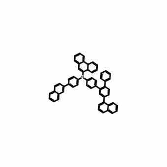 C1=CC2C(N(c3ccc(-c4ccc5ccccc5c4)cc3)c3ccc(-c4cc(-c5cccc6ccccc56)ccc4-c4ccccc4)cc3)=Cc3ccccc3C2C=C1